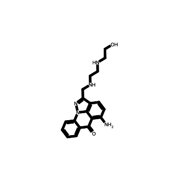 Nc1ccc2c(CNCCNCCO)nn3c4ccccc4c(=O)c1c23